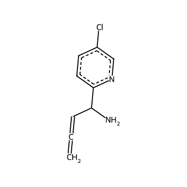 C=C=CC(N)c1ccc(Cl)cn1